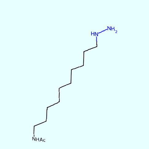 CC(=O)NCCCCCCCCCCNN